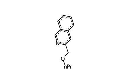 CCCOCc1cc2ccccc2cn1